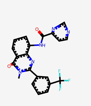 Cn1c(-c2cccc(C(F)(F)F)c2)nc2c(NC(=O)c3ccncn3)cccc2c1=O